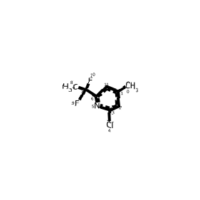 Cc1cc(Cl)nc(C(C)(F)F)c1